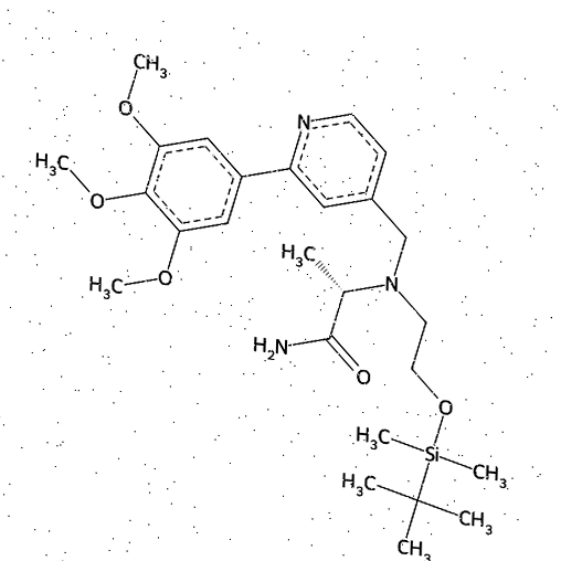 COc1cc(-c2cc(CN(CCO[Si](C)(C)C(C)(C)C)[C@@H](C)C(N)=O)ccn2)cc(OC)c1OC